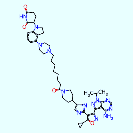 CC(C)n1nc(-c2noc(C3CC3)c2-c2ncc(C3CCN(C(=O)CCCCCCCN4CCN(c5cccc6c5CCN6C5CCC(=O)NC5=O)CC4)CC3)cn2)c2c(N)ncnc21